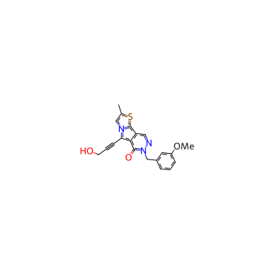 COc1cccc(Cn2ncc3c(c(C#CCO)n4cc(C)sc34)c2=O)c1